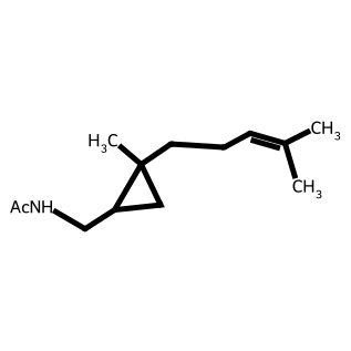 CC(=O)NCC1CC1(C)CCC=C(C)C